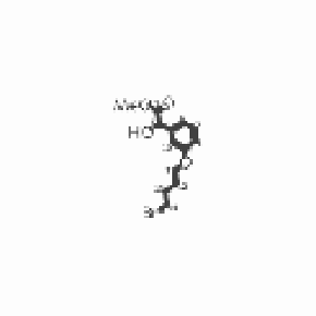 COC(=O)C(O)c1cccc(OCCCCBr)c1